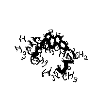 C=C(C[C@H]1CC[C@@]2(C)C(=CCC3C4CCC([C@H](C)CCCC(C)C)[C@@]4(C)CCC32)C1)NCCCC(C)CC